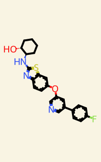 O[C@@H]1CCCC[C@H]1Nc1nc2ccc(Oc3cncc(-c4ccc(F)cc4)c3)cc2s1